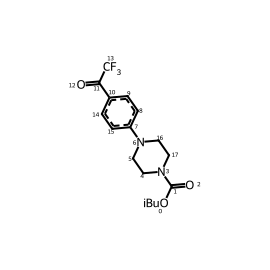 CC(C)COC(=O)N1CCN(c2ccc(C(=O)C(F)(F)F)cc2)CC1